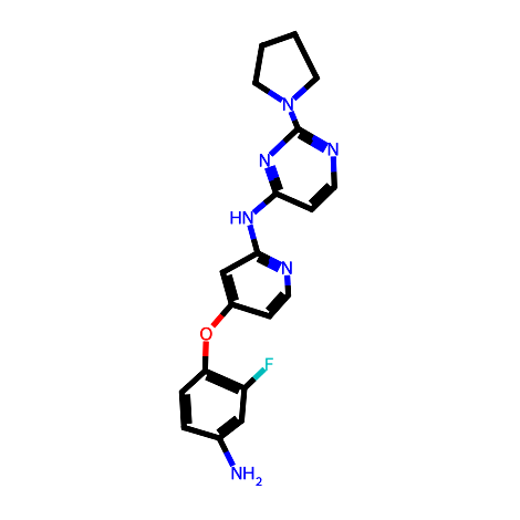 Nc1ccc(Oc2ccnc(Nc3ccnc(N4CCCC4)n3)c2)c(F)c1